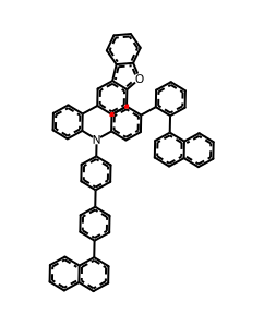 c1ccc(-c2cccc3ccccc23)c(-c2ccc(N(c3ccc(-c4ccc(-c5cccc6ccccc56)cc4)cc3)c3ccccc3-c3ccc4oc5ccccc5c4c3)cc2)c1